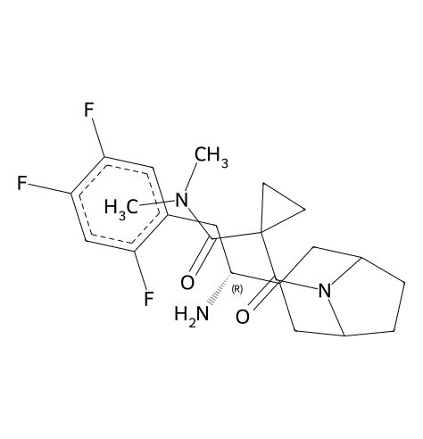 CN(C)C(=O)C1(C(=O)N2C3CCC2CC([C@H](N)Cc2cc(F)c(F)cc2F)C3)CC1